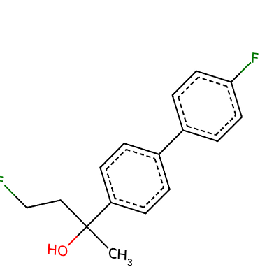 CC(O)(CCF)c1ccc(-c2ccc(F)cc2)cc1